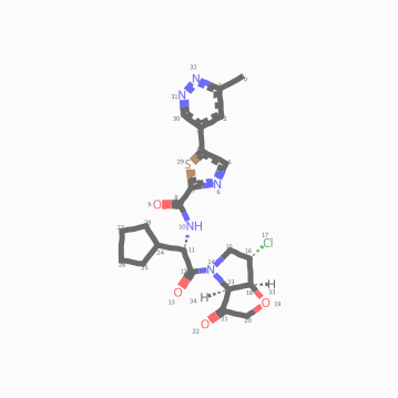 Cc1cc(-c2cnc(C(=O)N[C@H](C(=O)N3C[C@H](Cl)[C@H]4OCC(=O)[C@H]43)C3CCCC3)s2)cnn1